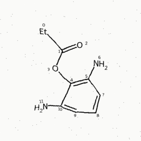 CCC(=O)Oc1c(N)cccc1N